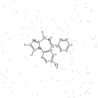 Cc1nc2n(c1C)-c1ccc(Cl)cc1C(c1ccccc1)=NC2C